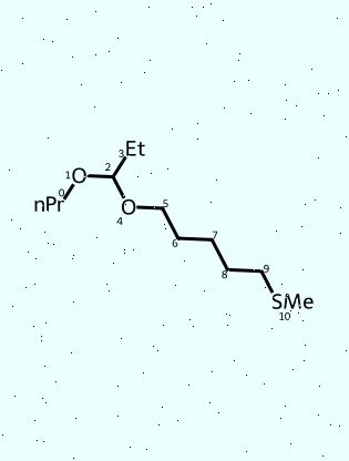 CCCOC(CC)OCCCCCSC